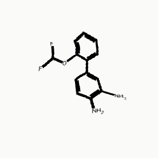 Nc1ccc(-c2ccccc2OC(F)F)cc1N